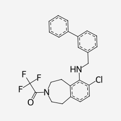 O=C(N1CCc2ccc(Cl)c(NCc3cccc(-c4ccccc4)c3)c2CC1)C(F)(F)F